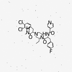 CCC1CN(C(Cc2ccc(Cl)c(Cl)c2)C(=O)NC)CCN1C(=O)C(Cc1ccc(F)cc1)NC(=O)c1ccncc1